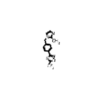 Cc1nccn1Cc1ccc(-c2noc(C(F)(F)F)n2)cc1